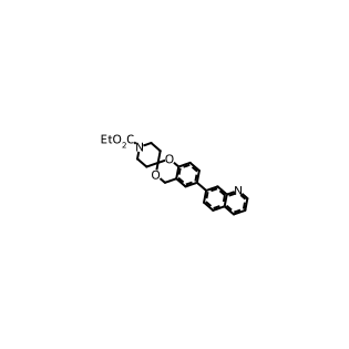 CCOC(=O)N1CCC2(CC1)OCc1cc(-c3ccc4cccnc4c3)ccc1O2